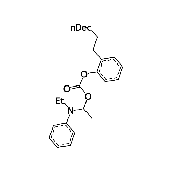 CCCCCCCCCCCCc1ccccc1OC(=O)OC(C)N(CC)c1ccccc1